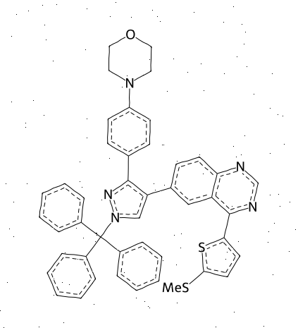 CSc1ccc(-c2ncnc3ccc(-c4cn(C(c5ccccc5)(c5ccccc5)c5ccccc5)nc4-c4ccc(N5CCOCC5)cc4)cc23)s1